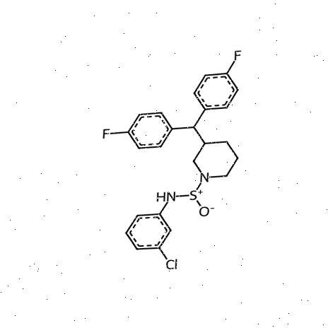 [O-][S+](Nc1cccc(Cl)c1)N1CCCC(C(c2ccc(F)cc2)c2ccc(F)cc2)C1